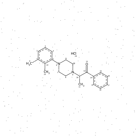 Cc1cccc(N2CCN(C(C)C(=O)c3ccccc3)CC2)c1C.Cl